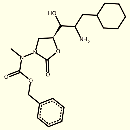 CN(C(=O)OCc1ccccc1)N1C[C@@H](C(O)C(N)CC2CCCCC2)OC1=O